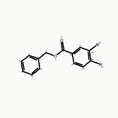 O=C(OCc1ccccc1)c1ccc(Br)c(Br)c1